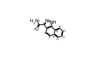 NC(=O)c1n[nH]c2c1ccc1ccccc12